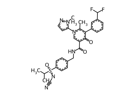 Cc1c(-c2cccc(C(F)F)c2)c(=O)c(C(=O)NCc2ccc(S(=O)(=NC#N)C(C)C)cc2)cn1-c1ccnn1C